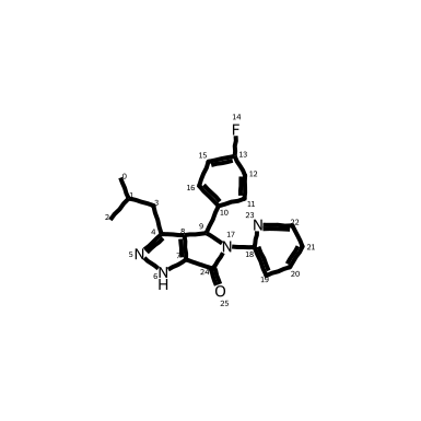 CC(C)Cc1n[nH]c2c1C(c1ccc(F)cc1)N(c1ccccn1)C2=O